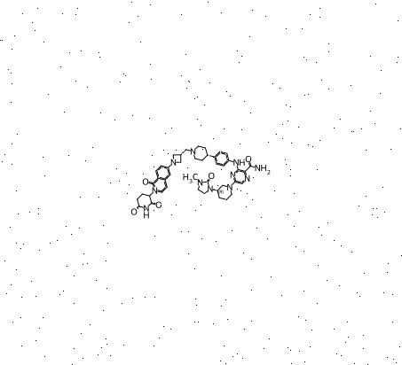 CN1CCN([C@@H]2CCCN(c3cnc(C(N)=O)c(Nc4ccc(C5CCN(CC6CN(c7ccc8c(=O)n(C9CCC(=O)NC9=O)ccc8c7)C6)CC5)cc4)n3)C2)C1=O